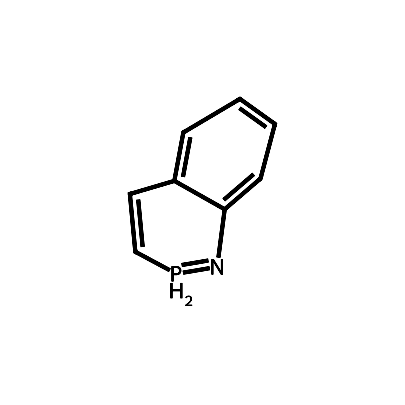 C1=Cc2ccccc2N=[PH2]1